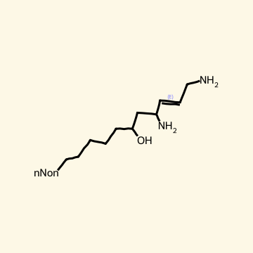 CCCCCCCCCCCCCCC(O)CC(N)/C=C/CN